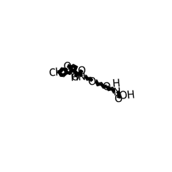 O=C(O)NCCCOCCCCOCCCNC(=O)C(=O)C1CCC(=O)N1Cc1ccc(Cl)cc1